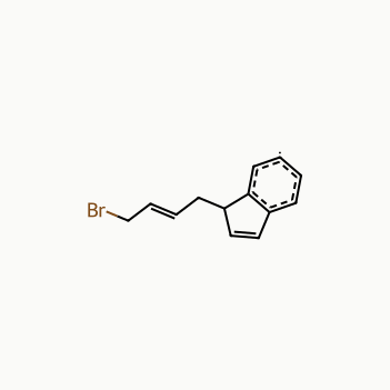 BrC/C=C/CC1C=Cc2cc[c]cc21